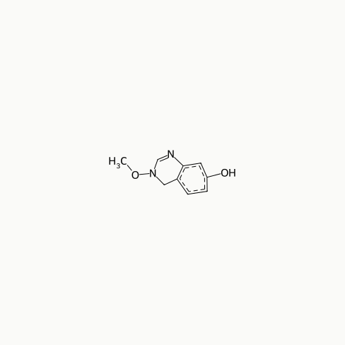 CON1C=Nc2cc(O)ccc2C1